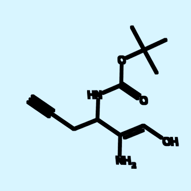 C#CCC(NC(=O)OC(C)(C)C)C(N)=CO